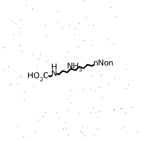 CCCCCCCCCCCCCCCCCCNCC(=O)O.N